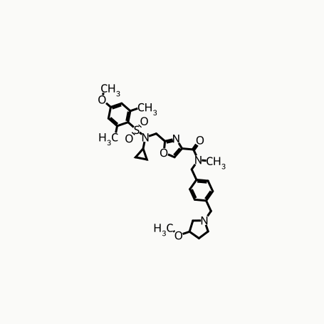 COc1cc(C)c(S(=O)(=O)N(Cc2nc(C(=O)N(C)Cc3ccc(CN4CCC(OC)C4)cc3)co2)C2CC2)c(C)c1